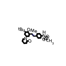 COc1c(/C=C/c2ccc(NS(C)(=O)=O)cc2)cc(-n2ccccc2=O)cc1C(C)(C)C